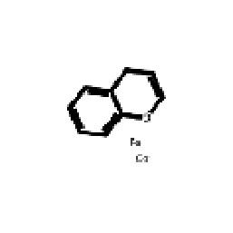 C1=COc2ccccc2C1.[Co].[Fe]